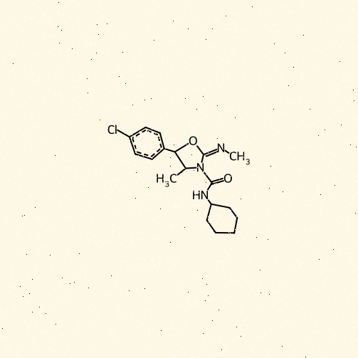 CN=C1OC(c2ccc(Cl)cc2)C(C)N1C(=O)NC1CCCCC1